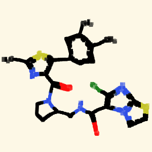 Cc1nc(C(=O)N2CCC2CNC(=O)c2c(Cl)nc3sccn23)c(-c2ccc(C)c(C)c2)s1